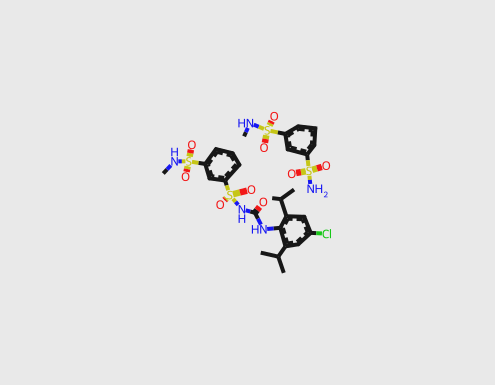 CNS(=O)(=O)c1cccc(S(=O)(=O)NC(=O)Nc2c(C(C)C)cc(Cl)cc2C(C)C)c1.CNS(=O)(=O)c1cccc(S(N)(=O)=O)c1